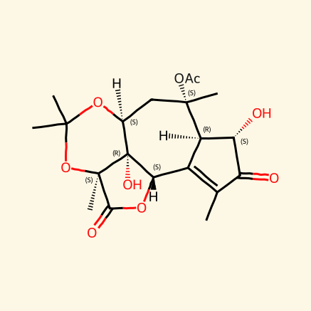 CC(=O)O[C@@]1(C)C[C@@H]2OC(C)(C)O[C@]3(C)C(=O)O[C@@H](C4=C(C)C(=O)[C@@H](O)[C@@H]41)[C@]23O